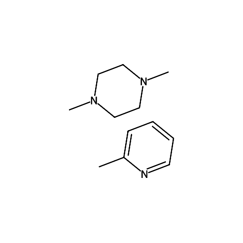 CN1CCN(C)CC1.Cc1ccccn1